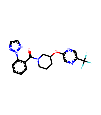 O=C(c1ccccc1-n1nccn1)N1CCCC(Oc2cnc(C(F)(F)F)cn2)C1